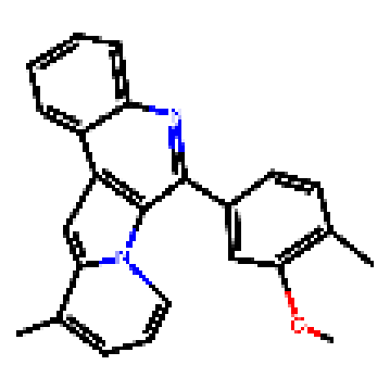 COc1cc(-c2nc3ccccc3c3cc4c(C)cccn4c23)ccc1C